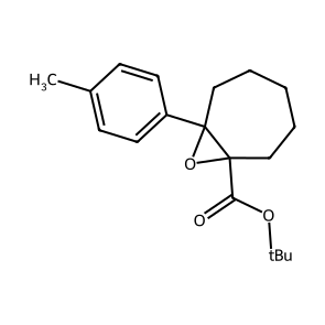 Cc1ccc(C23CCCCCC2(C(=O)OC(C)(C)C)O3)cc1